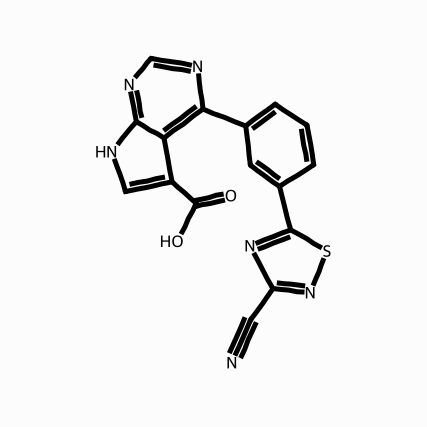 N#Cc1nsc(-c2cccc(-c3ncnc4[nH]cc(C(=O)O)c34)c2)n1